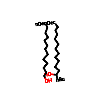 CCCCCCCCCCCCCCCCCCCCCC(O)CCCC.CCCCCCCCCCCCCCCCCCCCCCO